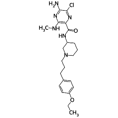 CCOc1ccc(CCCN2CCCC(NC(=O)c3nc(Cl)c(N)nc3NC)C2)cc1